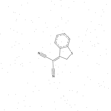 N#CC(C#N)=C1CSc2ccccc21